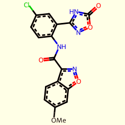 COc1ccc2c(C(=O)Nc3ccc(Cl)cc3-c3noc(=O)[nH]3)noc2c1